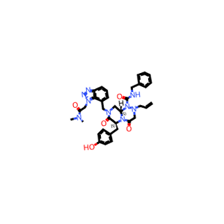 C=CCN1CC(=O)N2[C@@H](Cc3ccc(O)cc3)C(=O)N(Cc3cccc4nnn(CC(=O)N(C)C)c34)C[C@@H]2N1C(=O)NCc1ccccc1